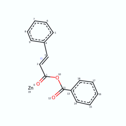 O=C(/C=C/c1ccccc1)OC(=O)c1ccccc1.[Zn]